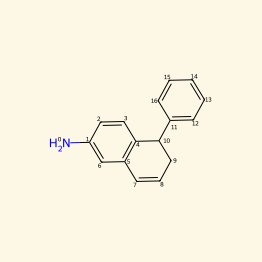 Nc1ccc2c(c1)C=CCC2c1ccccc1